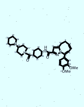 COc1ccc(/C2=C/C=C\CCc3cc(C(=O)N[C@H]4CC[C@H](C(=O)N5CCC(N6CCCCC6)CC5)CC4)nn32)cc1OC